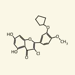 COc1ccc(-c2oc3cc(O)cc(O)c3c(=O)c2Cl)cc1OC1CCCC1